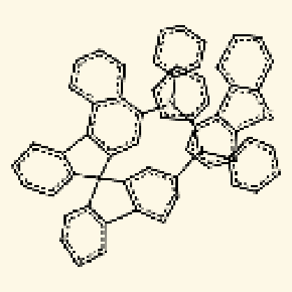 c1ccc(N(c2ccccc2)c2ccc3c(c2)C2(c4ccccc4-3)c3ccccc3-c3c2cc(N(c2ccccc2)c2cccc4sc5ccccc5c24)c2ccccc32)cc1